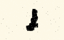 COC(CN1CCc2sc(OCC(F)(F)F)nc2C1)C1CCC(NC(=O)c2cccc3nn(C)cc23)CC1